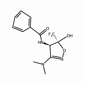 CN(C)C1=NO[C@@](O)(C(F)(F)F)[C@@H]1NC(=O)c1ccccc1